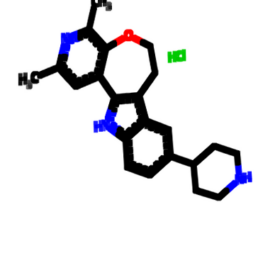 Cc1cc2c(c(C)n1)OCCc1c-2[nH]c2ccc(C3CCNCC3)cc12.Cl